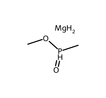 CO[PH](C)=O.[MgH2]